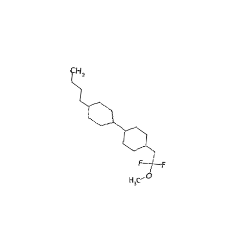 CCCCC1CCC(C2CCC(CC(F)(F)OC)CC2)CC1